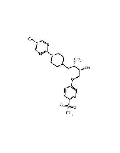 C[C@@H](COc1ccc(S(C)(=O)=O)cc1)[C@@H](C)CC1CCN(c2ncc(Cl)cn2)CC1